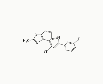 Cc1nc2c(ccc3nc(-c4cccc(F)c4)cc(Cl)c32)s1